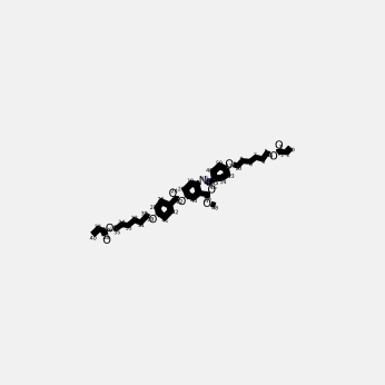 C=CC(=O)OCCCCCCOc1ccc(/C=N/c2ccc(OC(=O)c3ccc(OCCCCCCOC(=O)C=C)cc3)cc2C(=O)OC)cc1